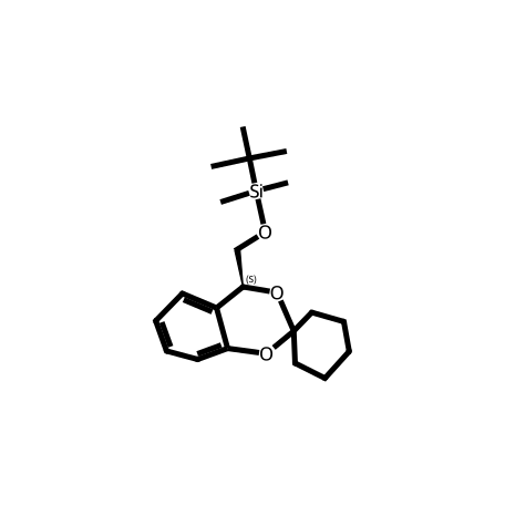 CC(C)(C)[Si](C)(C)OC[C@H]1OC2(CCCCC2)Oc2ccccc21